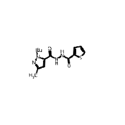 Cc1cc(C(=O)NNC(=O)c2cccs2)n(C(C)(C)C)n1